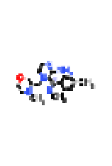 C=N/C(=C1/C(N)=NC=CN1CC1COCCN1C)c1ccc(C)cc1